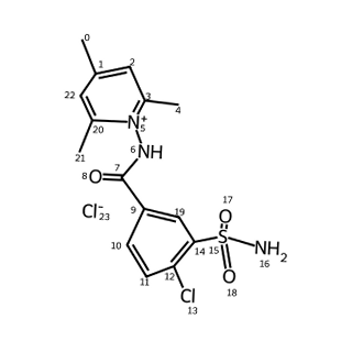 Cc1cc(C)[n+](NC(=O)c2ccc(Cl)c(S(N)(=O)=O)c2)c(C)c1.[Cl-]